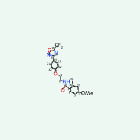 COc1ccc(C(=O)NCCOc2ccc(-c3noc(C(F)(F)F)n3)cc2)c(C)c1